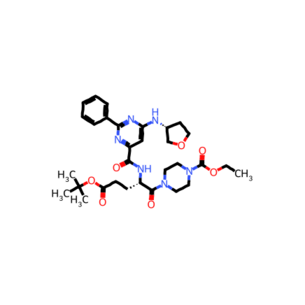 CCOC(=O)N1CCN(C(=O)[C@H](CCC(=O)OC(C)(C)C)NC(=O)c2cc(N[C@@H]3CCOC3)nc(-c3ccccc3)n2)CC1